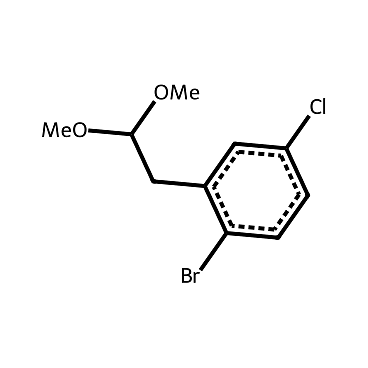 COC(Cc1cc(Cl)ccc1Br)OC